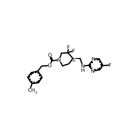 Cc1ccc(COC(=O)N2CC[C@H](CNc3ncc(F)cn3)C(F)(F)C2)cc1